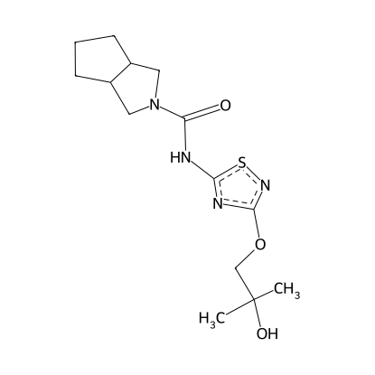 CC(C)(O)COc1nsc(NC(=O)N2CC3CCCC3C2)n1